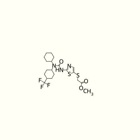 COC(=O)CSc1cnc(NC(=O)N(C2CCCCC2)C2CCC(C(F)(F)F)CC2)s1